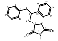 O=C1C[C@@H](OC(Cc2ccccc2)c2ccccc2)C(=O)N1